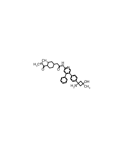 CN(C)C(=O)C1CCC(CC(=O)Nc2cc(-c3ccccc3)c(-c3ccc([C@]4(N)C[C@](C)(O)C4)cc3)cn2)CC1